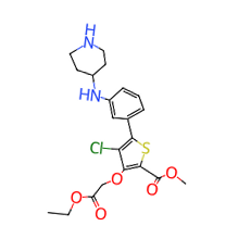 CCOC(=O)COc1c(C(=O)OC)sc(-c2cccc(NC3CCNCC3)c2)c1Cl